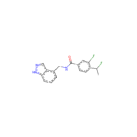 CC(F)c1ccc(C(=O)NCc2cccc3[nH]ncc23)cc1F